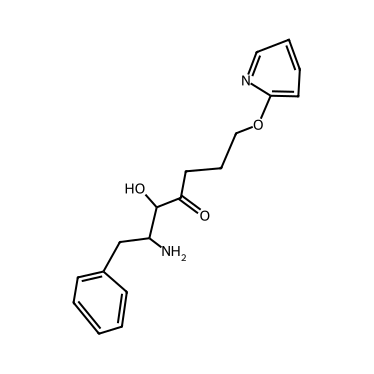 NC(Cc1ccccc1)C(O)C(=O)CCCOc1ccccn1